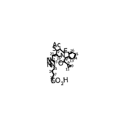 CC(=O)SC1CCN(C(C(=O)C2CC2)c2ccccc2F)CC1=Cc1cn(CCCCC(=O)O)nn1